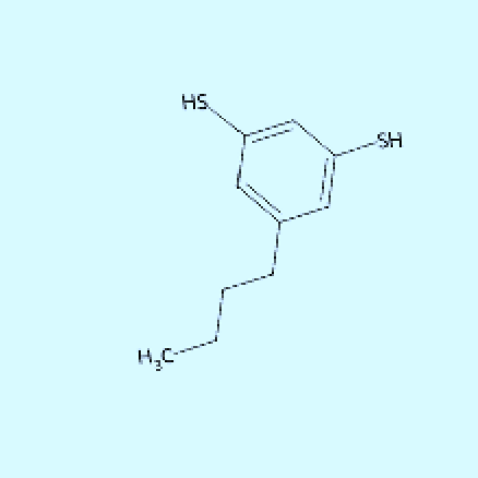 CCCCc1cc(S)cc(S)c1